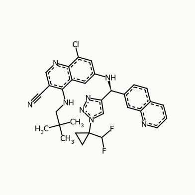 CC(C)(C)CNc1c(C#N)cnc2c(Cl)cc(N[C@@H](c3ccc4cccnc4c3)c3cn(C4(C(F)F)CC4)nn3)cc12